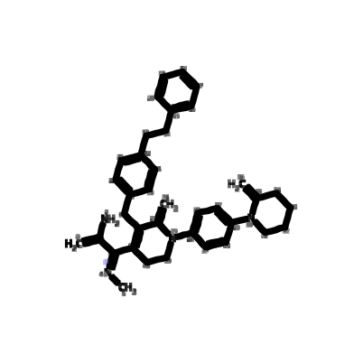 C=C(N)/C(=N/C)C1=C(Cc2ccc(CCc3ccccc3)cc2)C(=C)N(c2ccc(N3CCCCC3=C)cc2)CC1